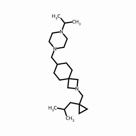 CC(C)CC1(CN2CC3(CCC(CN4CCN(C(C)C)CC4)CC3)C2)CC1